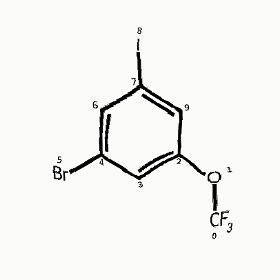 FC(F)(F)Oc1cc(Br)cc(I)c1